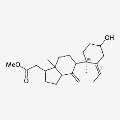 C=C1C2CCC(CC(=O)OC)C2(C)CCC1[C@@]1(C)CCC(O)C/C1=C/C